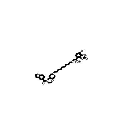 O=C(c1ccc2occc2c1)N1CCOC2(CCN(CCCCCCCCCNCC(O)c3ccc(O)c4[nH]c(=O)sc34)CC2)C1